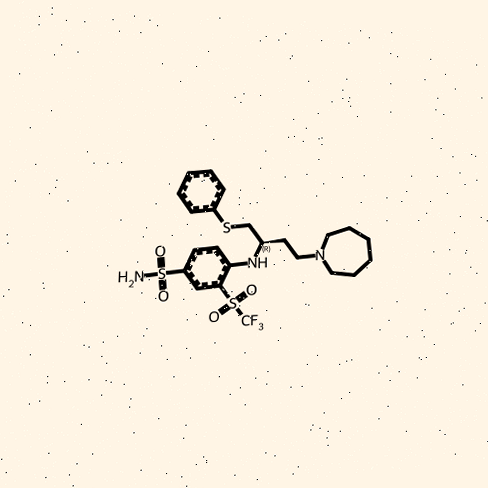 NS(=O)(=O)c1ccc(N[C@H](CCN2CCCCCC2)CSc2ccccc2)c(S(=O)(=O)C(F)(F)F)c1